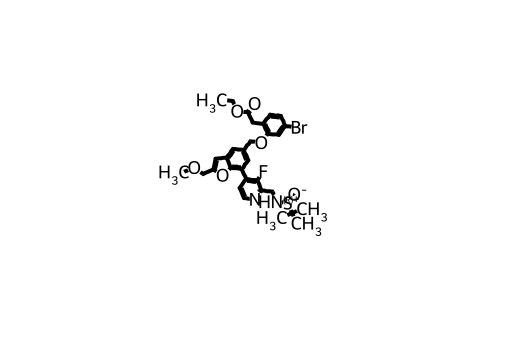 CCOC(=O)Cc1ccc(Br)cc1OCc1cc(-c2ccnc(CN[S@@+]([O-])C(C)(C)C)c2F)c2oc(COC)cc2c1